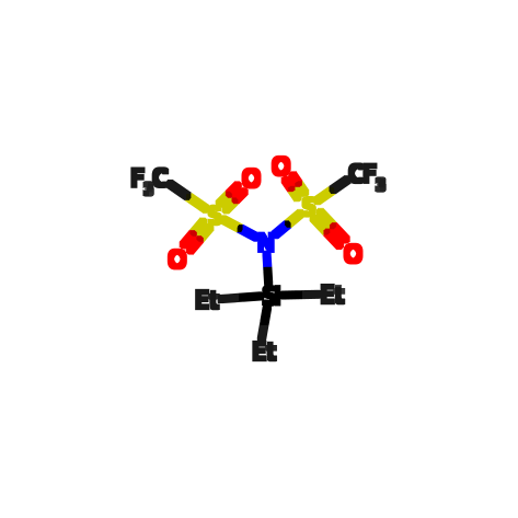 CC[Si](CC)(CC)N(S(=O)(=O)C(F)(F)F)S(=O)(=O)C(F)(F)F